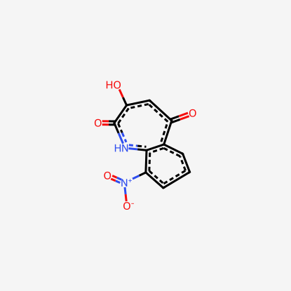 O=c1[nH]c2c([N+](=O)[O-])cccc2c(=O)cc1O